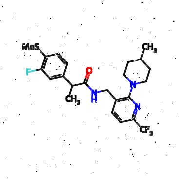 CSc1ccc(C(C)C(=O)NCc2ccc(C(F)(F)F)nc2N2CCC(C)CC2)cc1F